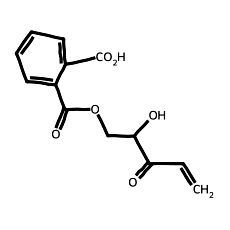 C=CC(=O)C(O)COC(=O)c1ccccc1C(=O)O